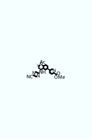 COC(=O)c1ccc(-c2ccc3c(c2)[C@H](Nc2cnc(C#N)cn2)C[C@H](C)N3C(C)=O)cn1